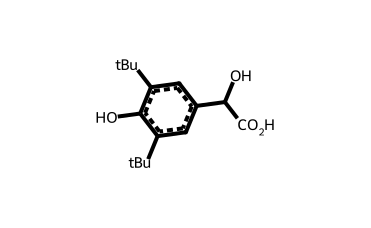 CC(C)(C)c1cc(C(O)C(=O)O)cc(C(C)(C)C)c1O